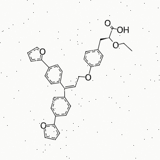 CCO[C@@H](Cc1ccc(OCC=C(c2ccc(-c3ccco3)cc2)c2ccc(-c3ccco3)cc2)cc1)C(=O)O